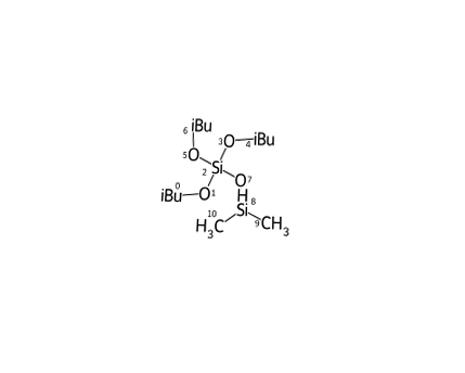 CCC(C)O[Si](OC(C)CC)(OC(C)CC)O[SiH](C)C